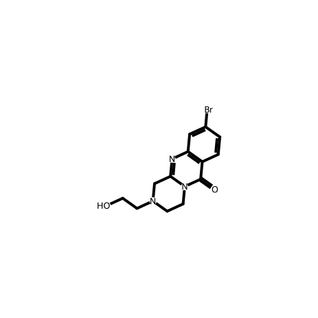 O=c1c2ccc(Br)cc2nc2n1CCN(CCO)C2